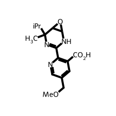 COCc1cnc(C2=NC(C)(C(C)C)C3OC3N2)c(C(=O)O)c1